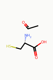 CC=O.N[C@@H](CS)C(=O)O